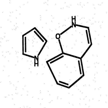 C1=Cc2ccccc2ON1.c1cc[nH]c1